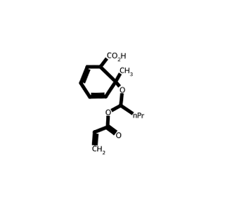 C=CC(=O)OC(CCC)OC1(C)C=CC=CC1C(=O)O